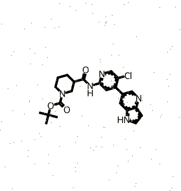 CC(C)(C)OC(=O)N1CCCC(C(=O)Nc2cc(-c3cnc4cc[nH]c4c3)c(Cl)cn2)C1